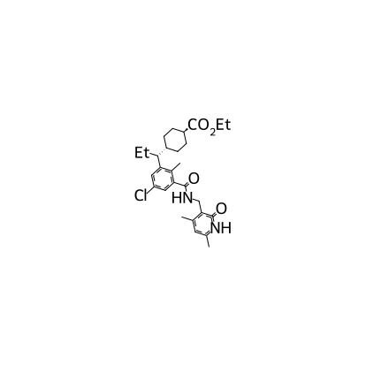 CCOC(=O)[C@H]1CC[C@H](C(CC)c2cc(Cl)cc(C(=O)NCc3c(C)cc(C)[nH]c3=O)c2C)CC1